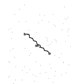 BrCCCCCCCCCCCBr.N